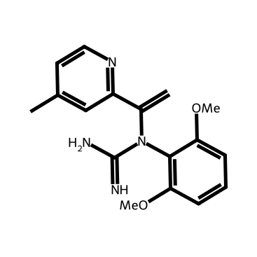 C=C(c1cc(C)ccn1)N(C(=N)N)c1c(OC)cccc1OC